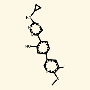 CSc1ncc(-c2ccc(-c3cnc(NC4CC4)nn3)c(O)c2)cc1F